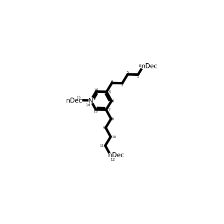 CCCCCCCCCCCCCCc1cc(CCCCCCCCCCCCCC)c[n+](CCCCCCCCCC)c1